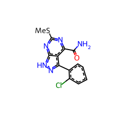 CSc1nc(C(N)=O)c2c(-c3ccccc3Cl)n[nH]c2n1